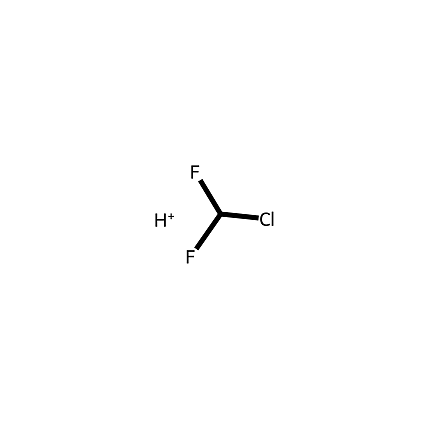 FC(F)Cl.[H+]